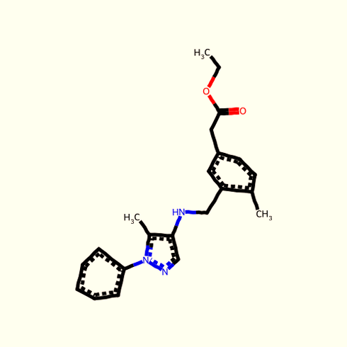 CCOC(=O)Cc1ccc(C)c(CNc2cnn(-c3ccccc3)c2C)c1